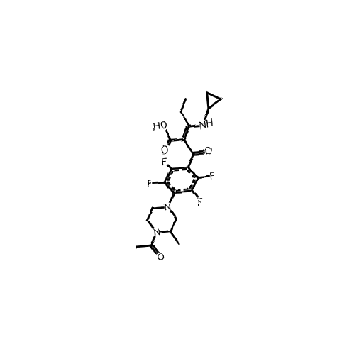 CCC(NC1CC1)=C(C(=O)O)C(=O)c1c(F)c(F)c(N2CCN(C(C)=O)C(C)C2)c(F)c1F